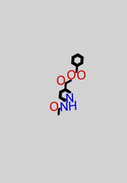 CC(=O)Nc1ccc(C(=O)COC(=O)c2ccccc2)cn1